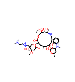 CC[C@H]1OC(=O)[C@H](C)[C@@H](O[C@H]2C[C@@](C)(OC)[C@](O)(CNCCN(C)C)[C@H](C)O2)[C@H](C)[C@@H](O[C@@H]2O[C@H](C)C[C@H](NC)[C@H]2Oc2ccccc2)[C@](C)(O)C[C@@H](C)CN[C@H](C)[C@@H](O)[C@]1(C)O